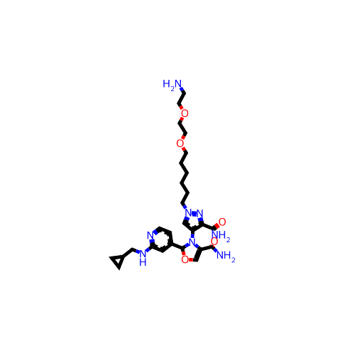 NCCOCCOCCCCCCn1cc(N2C(C(N)=O)=COC2c2ccnc(NCC3CC3)c2)c(C(N)=O)n1